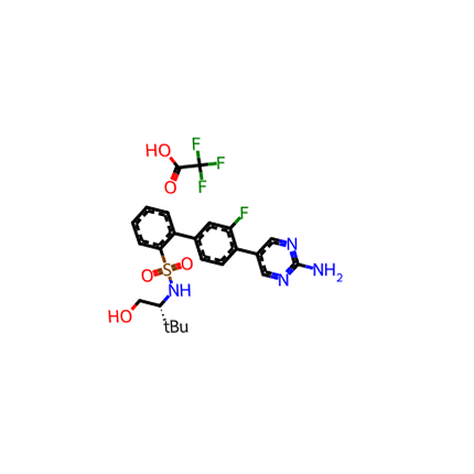 CC(C)(C)[C@H](CO)NS(=O)(=O)c1ccccc1-c1ccc(-c2cnc(N)nc2)c(F)c1.O=C(O)C(F)(F)F